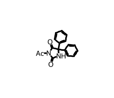 CC(=O)N1C(=O)NC(c2ccccc2)(c2ccccc2)C1=O